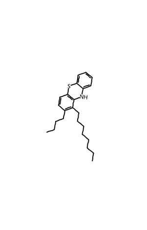 CCCCCCCCc1c(CCCC)ccc2c1Nc1ccccc1S2